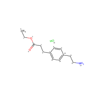 CCOC(=O)CCc1ccc(CCN)cc1.Cl